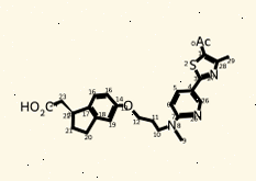 CC(=O)c1sc(-c2ccc(N(C)CCCOc3ccc4c(c3)CC[C@H]4CC(=O)O)nc2)nc1C